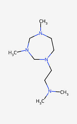 CN(C)CCN1CCN(C)CN(C)C1